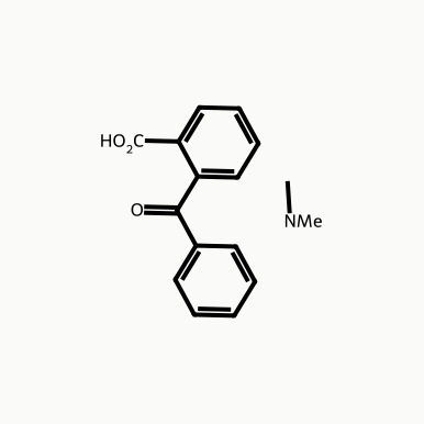 CNC.O=C(O)c1ccccc1C(=O)c1ccccc1